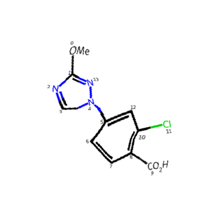 COc1ncn(-c2ccc(C(=O)O)c(Cl)c2)n1